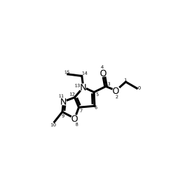 CCOC(=O)c1cc2oc(C)nc2n1CC